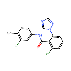 O=C(Nc1ccc(C(F)(F)F)c(Cl)c1)c1c(Cl)cccc1-n1cncn1